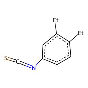 CCc1ccc(N=C=S)cc1CC